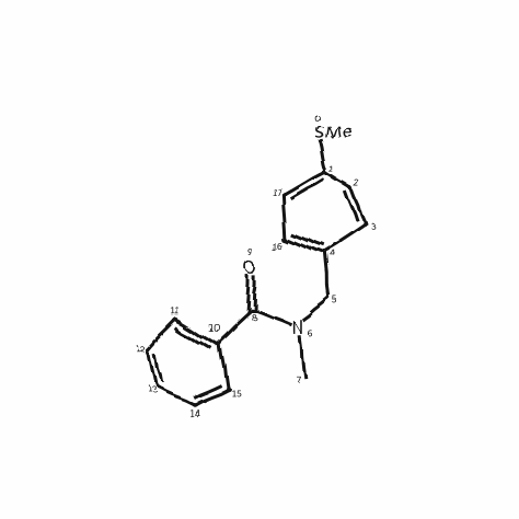 CSc1ccc(CN(C)C(=O)c2ccccc2)cc1